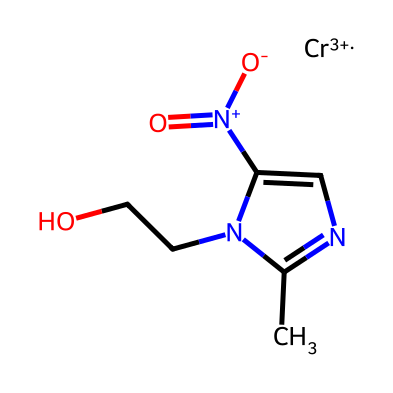 Cc1ncc([N+](=O)[O-])n1CCO.[Cr+3]